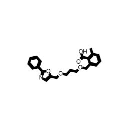 Cc1cccc(COCCCOCc2cnc(-c3ccccc3)o2)c1C(=O)O